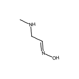 CNCC=NO